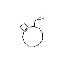 OCC1CCCCCCCCC2=C1CC2